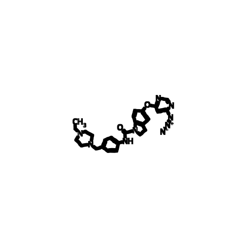 CCN1CCN(Cc2ccc(NC(=O)N3CCc4cc(Oc5cc(N=[N+]=[N-])ncn5)ccc43)cc2)CC1